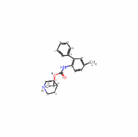 Cc1ccc(NC(=O)OC2CN3CCC2CC3)c(-c2ccccc2)c1